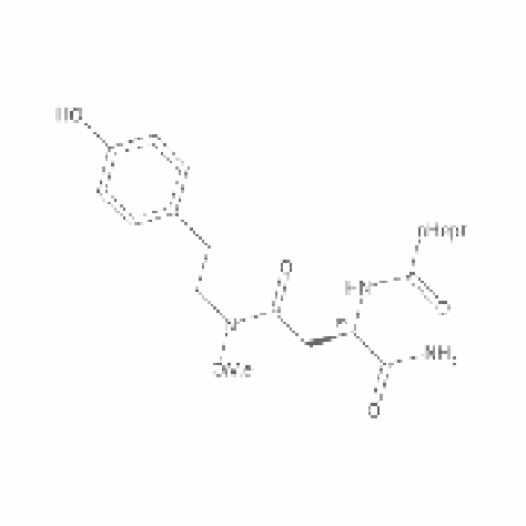 CCCCCCCC(=O)N[C@H](CC(=O)N(CCc1ccc(O)cc1)OC)C(N)=O